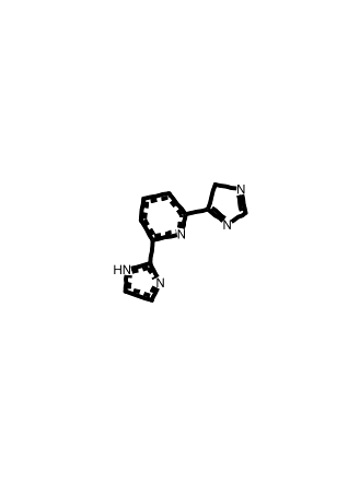 C1=NCC(c2cccc(-c3ncc[nH]3)n2)=N1